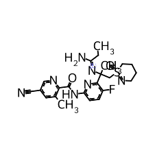 CC/C(N)=N\C(C)(CS1(=O)=NCCCC1)c1nc(NC(=O)c2ncc(C#N)cc2C)ccc1F